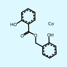 O=C(OCc1ccccc1O)c1ccccc1O.[Co]